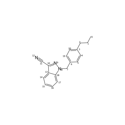 CCCc1ccc(Cn2nc(C#N)c3ccccc32)cc1